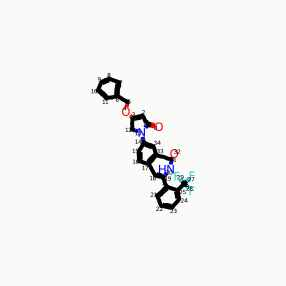 O=C1C=C(OCc2ccccc2)CN1c1ccc2cc(-c3ccccc3C(F)(F)F)[nH]c(=O)c2c1